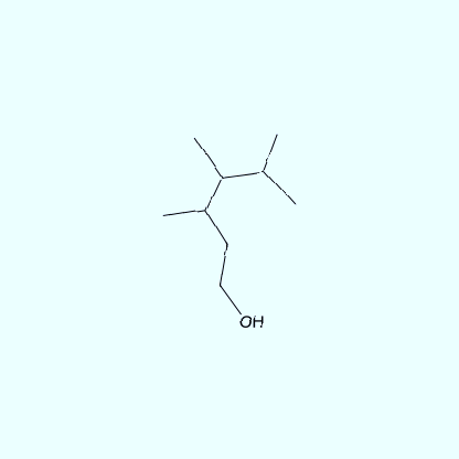 CC(C)C(C)C(C)CCO